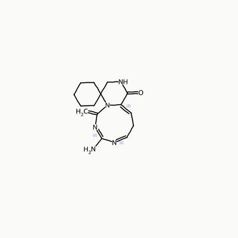 C=C1/N=C(N)\N=C/C/C=C2/C(=O)NCC3(CCCCC3)N12